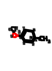 C[C@H]1C=CC(OC(F)(F)F)=CC1